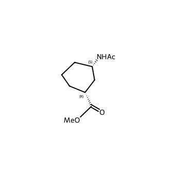 COC(=O)[C@@H]1CCC[C@H](NC(C)=O)C1